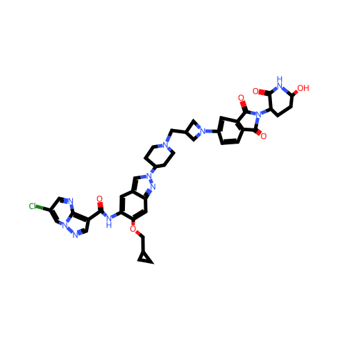 O=C(Nc1cc2cn(C3CCN(CC4CN(c5ccc6c(c5)C(=O)N(C5CCC(O)NC5=O)C6=O)C4)CC3)nc2cc1OCC1CC1)c1cnn2cc(Cl)cnc12